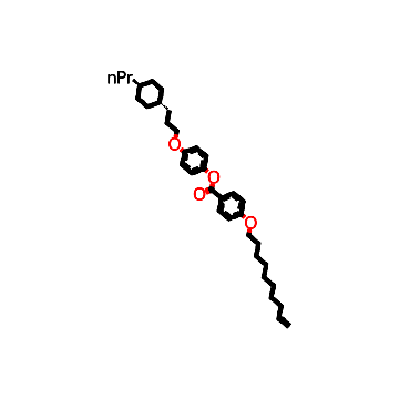 C=CCCCCCCCCOc1ccc(C(=O)Oc2ccc(OCCC[C@H]3CC[C@H](CCC)CC3)cc2)cc1